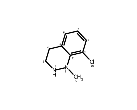 CN1NCCc2cccc(Cl)c21